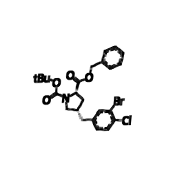 CC(C)(C)OC(=O)N1C[C@@H](Cc2ccc(Cl)c(Br)c2)C[C@@H]1C(=O)OCc1ccccc1